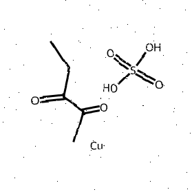 CCC(=O)C(C)=O.O=S(=O)(O)O.[Cu]